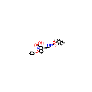 CC(C)(C)OC(=O)NCC#Cc1cc(C(=O)O)nc2c(OCc3ccccc3)cccc12